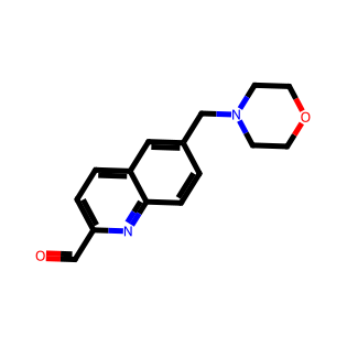 O=Cc1ccc2cc(CN3CCOCC3)ccc2n1